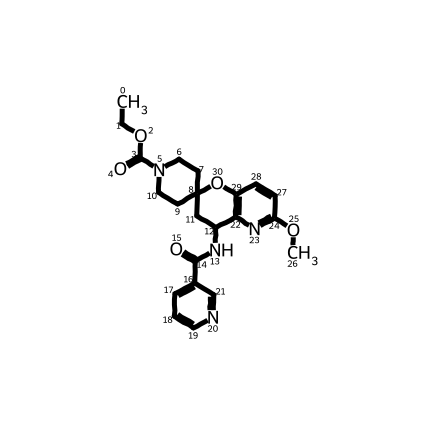 CCOC(=O)N1CCC2(CC1)CC(NC(=O)c1cccnc1)c1nc(OC)ccc1O2